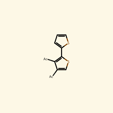 CC(=O)c1csc(-c2cccs2)c1C(C)=O